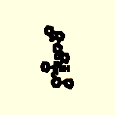 N=C(/N=C(\N=C\c1cccc(-c2ccccc2)c1)c1ccccc1)c1cccc2c1oc1ccc(-c3cccc4c3sc3ccccc34)cc12